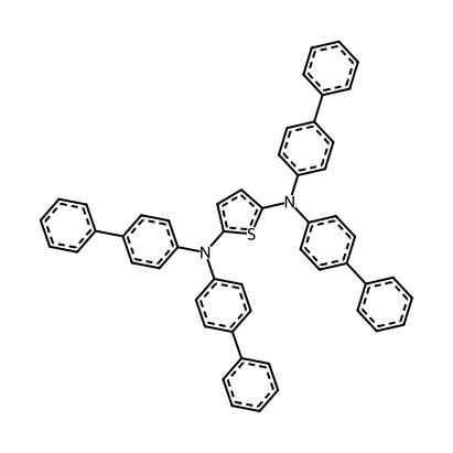 c1ccc(-c2ccc(N(c3ccc(-c4ccccc4)cc3)c3ccc(N(c4ccc(-c5ccccc5)cc4)c4ccc(-c5ccccc5)cc4)s3)cc2)cc1